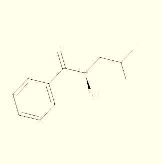 CC(C)C[C@@H](N)C(=O)c1ccccc1